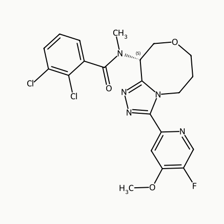 COc1cc(-c2nnc3n2CCCOC[C@H]3N(C)C(=O)c2cccc(Cl)c2Cl)ncc1F